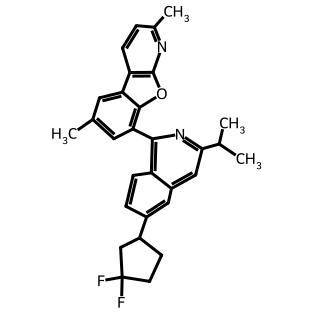 Cc1cc(-c2nc(C(C)C)cc3cc(C4CCC(F)(F)C4)ccc23)c2oc3nc(C)ccc3c2c1